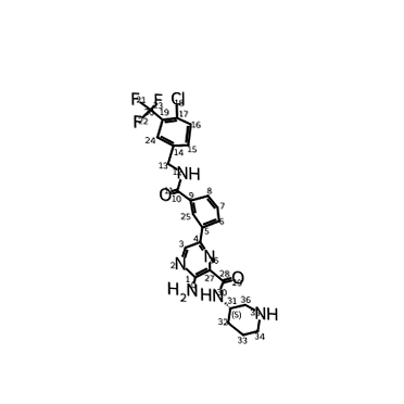 Nc1ncc(-c2cccc(C(=O)NCc3ccc(Cl)c(C(F)(F)F)c3)c2)nc1C(=O)N[C@H]1CCCNC1